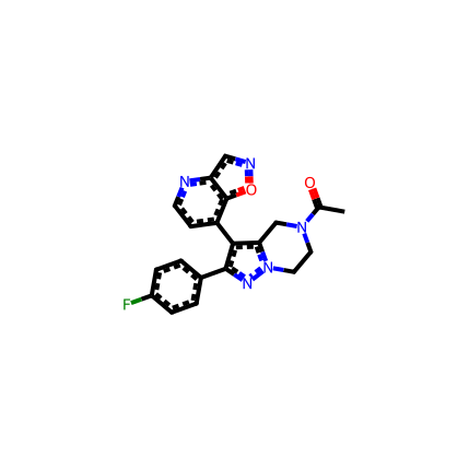 CC(=O)N1CCn2nc(-c3ccc(F)cc3)c(-c3ccnc4cnoc34)c2C1